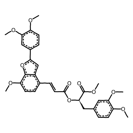 COC(=O)[C@@H](Cc1ccc(OC)c(OC)c1)OC(=O)/C=C/c1ccc(OC)c2oc(-c3ccc(OC)c(OC)c3)cc12